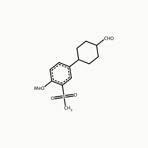 COc1ccc(C2CCC(C=O)CC2)cc1S(C)(=O)=O